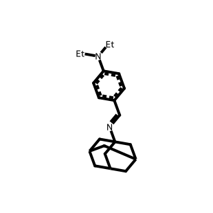 CCN(CC)c1ccc(/C=N/C23CC4CC(CC(C4)C2)C3)cc1